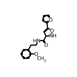 COc1ccccc1CCNC(=O)C1C=C(c2ccco2)ON1